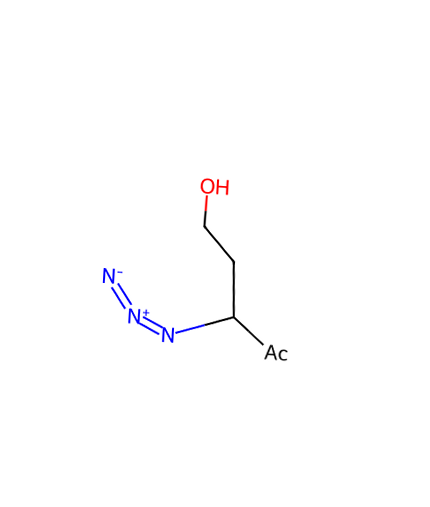 CC(=O)C(CCO)N=[N+]=[N-]